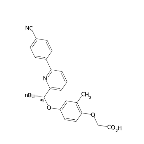 CCCC[C@@H](Oc1ccc(OCC(=O)O)c(C)c1)c1cccc(-c2ccc(C#N)cc2)n1